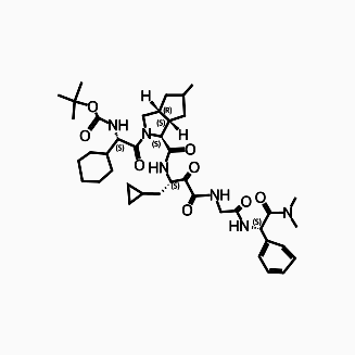 CC1C[C@H]2CN(C(=O)[C@@H](NC(=O)OC(C)(C)C)C3CCCCC3)[C@H](C(=O)N[C@@H](CC3CC3)C(=O)C(=O)NCC(=O)N[C@H](C(=O)N(C)C)c3ccccc3)[C@H]2C1